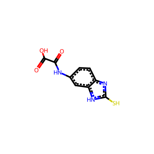 O=C(O)C(=O)Nc1ccc2nc(S)[nH]c2c1